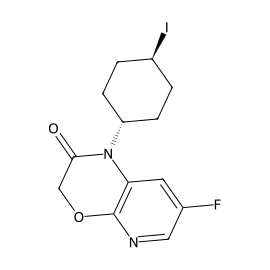 O=C1COc2ncc(F)cc2N1[C@H]1CC[C@H](I)CC1